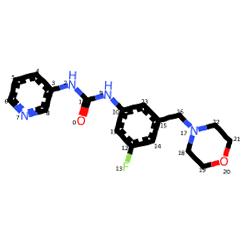 O=C(Nc1cccnc1)Nc1cc(F)cc(CN2CCOCC2)c1